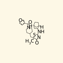 CC1(CC2CCN(C(=O)c3ccoc3)CC2)SC(N[C@H]2C[C@H]3CC[C@H]2C3)=NC1=O